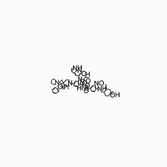 CC(C)Oc1ccccc1[C@@H]1CCCN1C1CC2(CCN(c3ccc(C(=O)NS(=O)(=O)c4ccc(NCC5CCC(C)(O)CC5)c([N+](=O)[O-])c4)c(N4c5cc6cc[nH]c6nc5O[C@@H]5COC[C@H]54)c3)CC2)C1